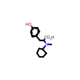 CN(C1CCCCC1)C(Cc1ccc(O)cc1)C(=O)O